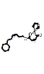 O=C(/C=C\C(=O)On1ccnc1)OCC/C=C\CCC1CCCCC1